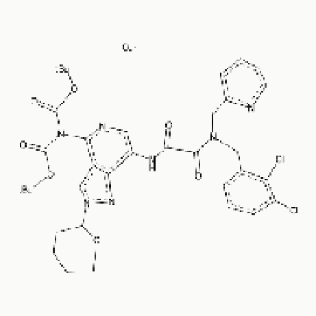 CC(C)(C)OC(=O)N(C(=O)OC(C)(C)C)c1ncc(NC(=O)C(=O)N(Cc2ccccn2)Cc2cccc(Cl)c2Cl)c2nn(C3CCCCO3)cc12.[Cu]